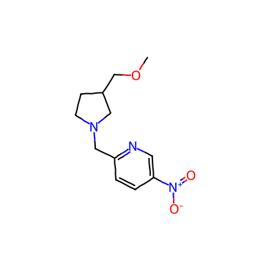 COCC1CCN(Cc2ccc([N+](=O)[O-])cn2)C1